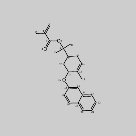 C=C(C)C(=O)OC(C)(C)C1CC=C(C)C(Oc2ccc3ccccc3c2)C1